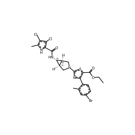 CCOC(=O)c1sc(N2C[C@@H]3[C@H](C2)[C@H]3NC(=O)c2[nH]c(C)c(Cl)c2Cl)nc1-c1ccc(Br)cc1C